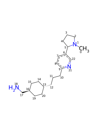 CN1CCCC1c1ccc(CCC[C@H]2CC[C@H](CN)CC2)nc1